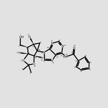 CC1(C)O[C@@H]2[C@@H](CO)[C@@H]3CC3(n3cnc4c(NC(=O)c5ccccc5)ncnc43)[C@@H]2O1